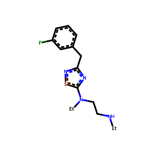 CCNCCN(CC)c1nc(Cc2cccc(F)c2)ns1